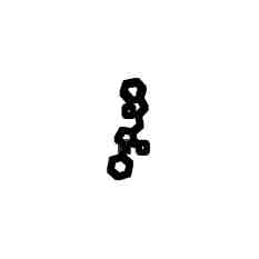 O=C1C(CC2Cc3ccccc3O2)CCN1C1CCCCC1